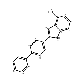 Oc1cccc2[nH]c(-c3ccc(-c4ccccc4)nc3)nc12